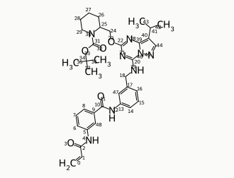 C=CC(=O)Nc1cccc(C(=O)Nc2cccc(CNc3nc(OCC4CCCCN4C(=O)OC(C)(C)C)nc4c(C(C)C)cnn34)c2)c1